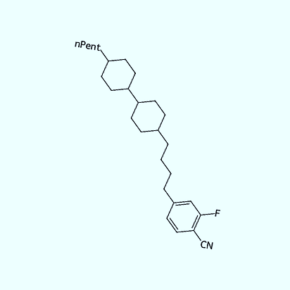 CCCCCC1CCC(C2CCC(CCCCc3ccc(C#N)c(F)c3)CC2)CC1